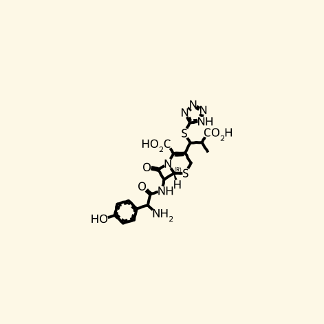 CC(C(=O)O)C(Sc1nnn[nH]1)C1=C(C(=O)O)N2C(=O)C(NC(=O)C(N)c3ccc(O)cc3)[C@H]2SC1